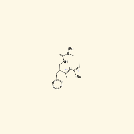 C=C(NCC(Cc1ccccc1)/C(C)=N/C(=C\C)C(C)(C)C)B(C)C(C)(C)C